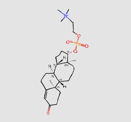 C[C@]12CC[C@H]3[C@@H](CCC4=CC(=O)CC[C@@]43C)[C@@H]1CC[C@@H]2OP(=O)([O-])OCC[N+](C)(C)C